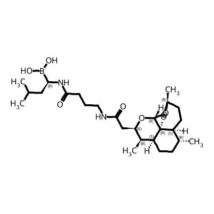 CC(C)C[C@H](NC(=O)CCCNC(=O)C[C@H]1O[C@@H]2O[C@@]3(C)CC[C@H]4[C@H](C)CC[C@@H]([C@H]1C)[C@@]24OO3)B(O)O